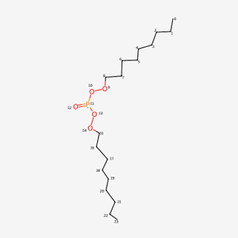 CCCCCCCCCOO[P](=O)OOCCCCCCCCC